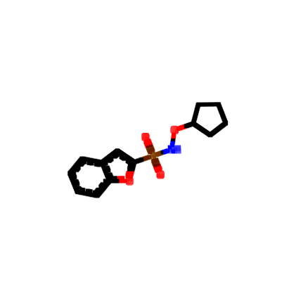 O=S(=O)(NOC1CCCC1)c1cc2ccccc2o1